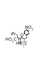 CC(C)C[C@H](NC(=O)[C@H](CC(=O)O)Cc1ccc([N+](=O)[O-])cc1)C(=O)O